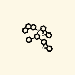 c1ccc(-c2cc(-c3ccc4c(c3)oc3ccccc34)cc(N(c3ccc4ccc5ccccc5c4c3)c3cccc4c3oc3ccccc34)c2)cc1